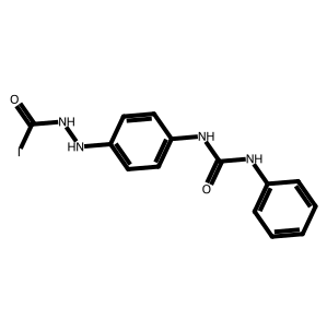 O=C(I)NNc1ccc(NC(=O)Nc2ccccc2)cc1